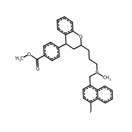 COC(=O)c1ccc(C2CC(CCCN(C)Cc3ccc(F)c4ccccc34)Oc3ccccc32)cc1